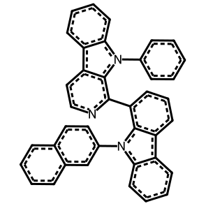 c1ccc(-n2c3ccccc3c3ccnc(-c4cccc5c6ccccc6n(-c6ccc7ccccc7c6)c45)c32)cc1